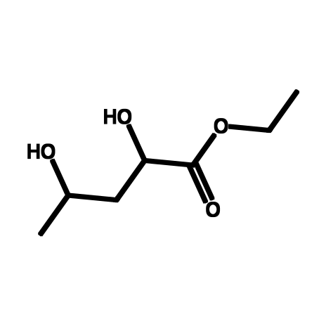 CCOC(=O)C(O)CC(C)O